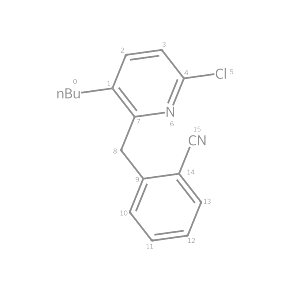 CCCCc1ccc(Cl)nc1Cc1ccccc1C#N